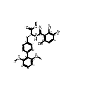 COC(=O)[C@H](Cc1ccc(-c2c(OC)cccc2OC)cc1)NC(=O)c1c(Cl)ccc(Br)c1Cl